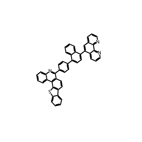 c1cnc2c(c1)cc(-c1ccc(-c3ccc(-c4nc5ccccc5c5c4ccc4c6ccccc6sc45)cc3)c3ccccc13)c1cccnc12